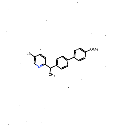 CCc1ccc(C(C)c2ccc(-c3ccc(OC)cc3)cc2)nc1